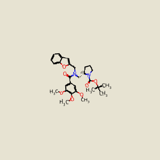 COc1cc(C(=O)N(Cc2cc3ccccc3o2)C[C@@H]2CCCN2C(=O)OC(C)(C)C)cc(OC)c1OC